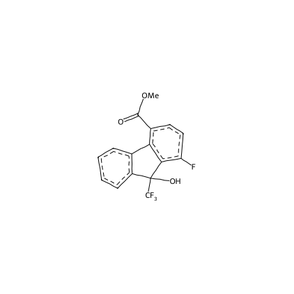 COC(=O)c1ccc(F)c2c1-c1ccccc1C2(O)C(F)(F)F